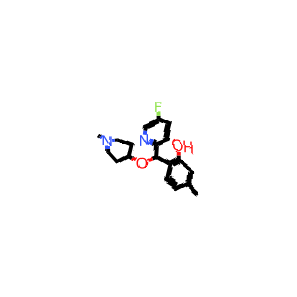 Cc1ccc(C(OC2CCN(C)CC2)c2ccc(F)cn2)c(O)c1